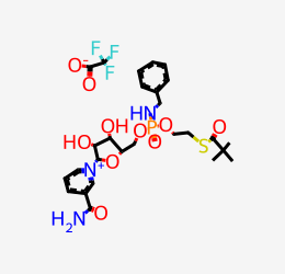 CC(C)(C)C(=O)SCCOP(=O)(NCc1ccccc1)OCC1OC([n+]2cccc(C(N)=O)c2)C(O)C1O.O=C([O-])C(F)(F)F